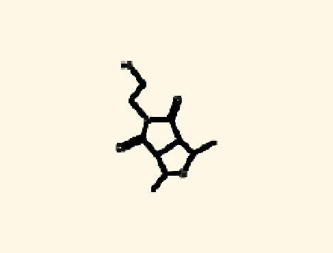 CC1OC(C)C2C(=O)N(CCS)C(=O)C12